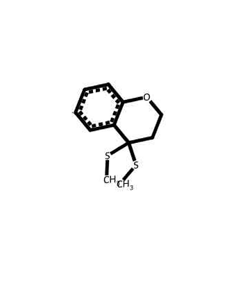 CSC1(SC)CCOc2cc[c]cc21